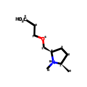 C[C@H]1CC[C@@H](COCCC(=O)O)N1C